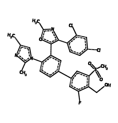 Cc1cn(-c2ccc(-c3cc(F)c(CO)c(S(C)(=O)=O)c3)cc2-c2oc(C)nc2-c2ccc(Cl)cc2Cl)c(C)n1